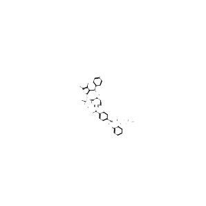 CNc1ccccc1NC(=O)c1ccc(C(C)OC(=O)CC2N=C(c3ccc(Cl)cc3)c3c(sc(C)c3C)N(C(C)=N)C2=N)cc1